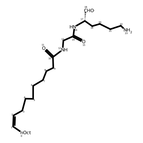 CCCCCCCC/C=C\CCCCCCCC(=O)NCC(=O)N[C@H]([C]=O)CCCCN